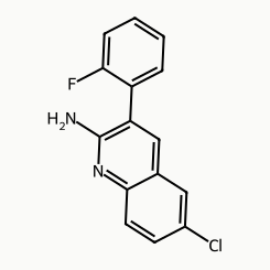 Nc1nc2ccc(Cl)cc2cc1-c1ccccc1F